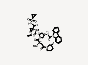 C=C[C@@H]1C[C@]1(NC(=O)[C@@H]1C[C@@H](NC(=O)n2c3ccccc3c3ccccc32)CN1C(=O)[C@@H](CC(=O)N1CCCC(F)C1)C(C)(C)C)C(=O)NS(=O)(=O)C1CC1